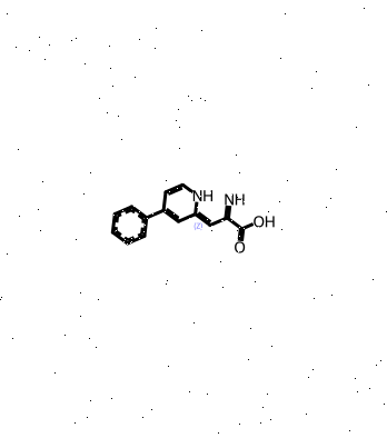 N=C(/C=C1/C=C(c2ccccc2)C=CN1)C(=O)O